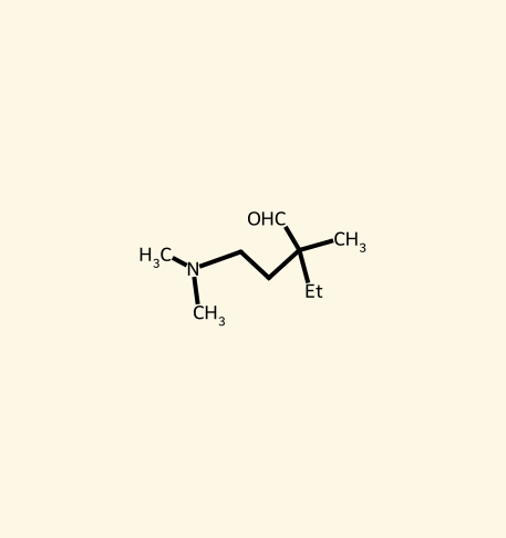 CCC(C)(C=O)CCN(C)C